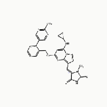 CSc1ncc(-c2ccccc2CNc2cc(NC3CC3)n3ncc(/C=C4/C(=O)NC(=O)N4C)c3n2)cn1